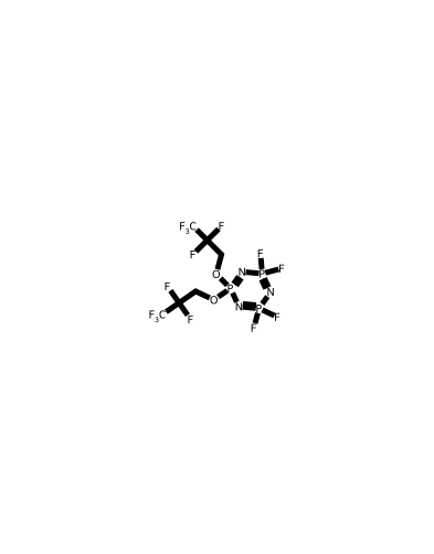 FC(F)(F)C(F)(F)COP1(OCC(F)(F)C(F)(F)F)=NP(F)(F)=NP(F)(F)=N1